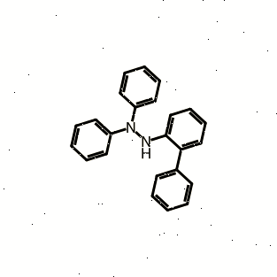 c1ccc(-c2ccccc2NN(c2ccccc2)c2ccccc2)cc1